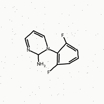 NC1N=CC=CN1c1c(F)cccc1F